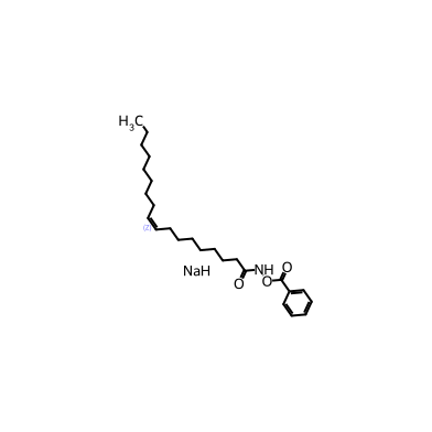 CCCCCCCC/C=C\CCCCCCCC(=O)NOC(=O)c1ccccc1.[NaH]